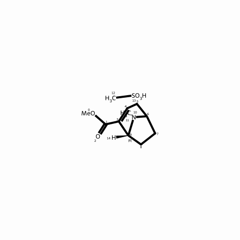 COC(=O)C1=CCC2CC[C@H]1N2C.CS(=O)(=O)O